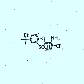 CCC(C)(C)c1ccc(Oc2cccc(C(F)(F)F)c2N)c(S(=O)(=O)O)c1